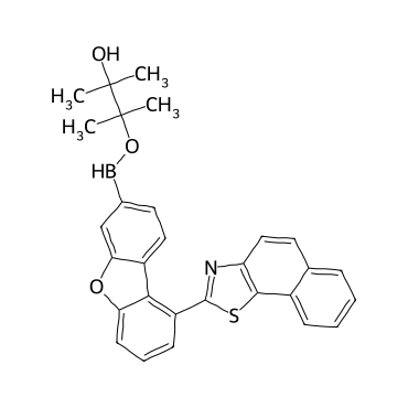 CC(C)(O)C(C)(C)OBc1ccc2c(c1)oc1cccc(-c3nc4ccc5ccccc5c4s3)c12